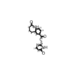 O=C1CCCc2cc(C(=O)CSc3nccc(=O)[nH]3)ccc2N1